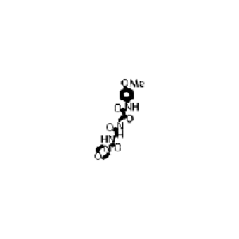 COc1ccc(NC(=O)C(=O)CNC(=O)CNC(=O)N2CCOCC2)cc1